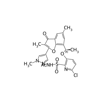 CC(=O)NS(=O)(=O)c1nc(Cl)ccc1O[C@H](C)c1cc(C)cc2c(=O)c(C)c(-c3cnn(C)c3)oc12